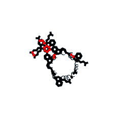 CCC12COC3(CC)c4cc(-c5ccc6c(c5)-c5ccccc5C6(CCCC(C)C)CCCC(C)C)ccc4-c4ccc(cc43)-c3ccc4c(c3)-c3ccccc3C4(CCCC(C)C)CCCC(C)CC(C)CCCC3(CCCC(C)C)c4ccccc4-c4cc(ccc43)-c3ccc(c1c3)-c1ccc(-c3ccc4c(c3)-c3ccccc3C4(CCCC(C)C)CCCC(C)C)cc12